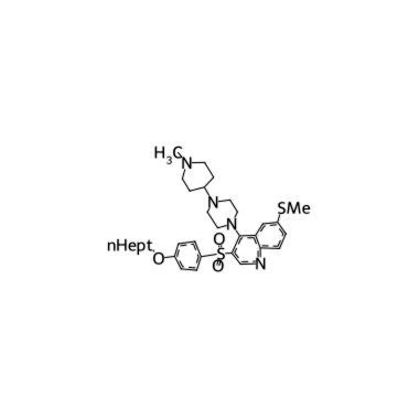 CCCCCCCOc1ccc(S(=O)(=O)c2cnc3ccc(SC)cc3c2N2CCN(C3CCN(C)CC3)CC2)cc1